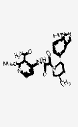 COc1nccc(NC(=O)C(=O)N2C[C@H](C)CC[C@H]2c2ccc3[nH]ncc3c2)c1C(N)=O